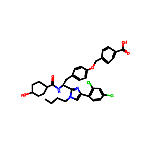 CCCCn1cc(-c2ccc(Cl)cc2Cl)nc1[C@H](Cc1ccc(OCc2ccc(C(=O)O)cc2)cc1)NC(=O)C1CCC(O)CC1